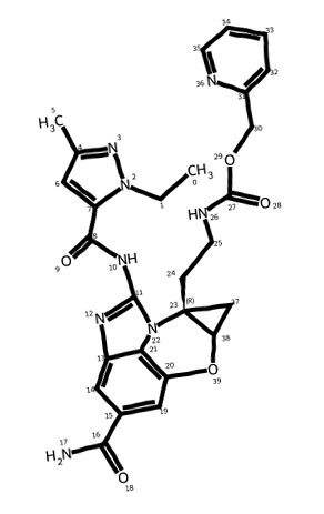 CCn1nc(C)cc1C(=O)Nc1nc2cc(C(N)=O)cc3c2n1[C@]1(CCNC(=O)OCc2ccccn2)CC1O3